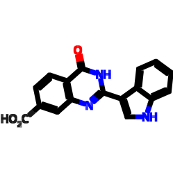 O=C(O)c1ccc2c(=O)[nH]c(-c3c[nH]c4ccccc34)nc2c1